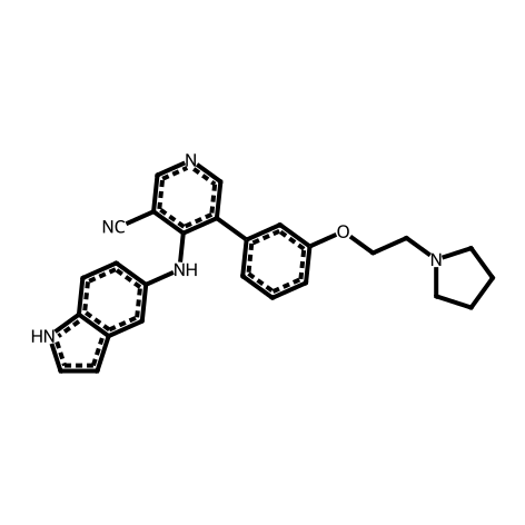 N#Cc1cncc(-c2cccc(OCCN3CCCC3)c2)c1Nc1ccc2[nH]ccc2c1